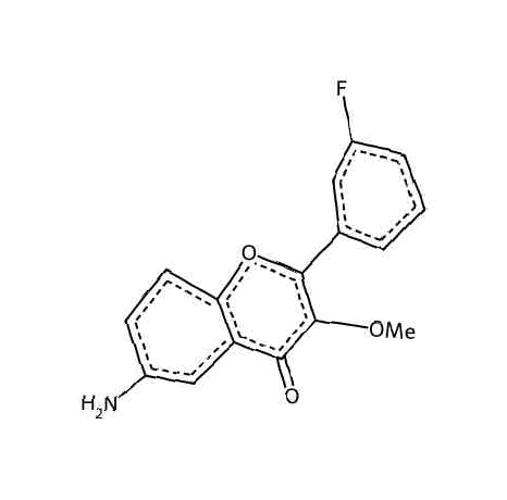 COc1c(-c2cccc(F)c2)oc2ccc(N)cc2c1=O